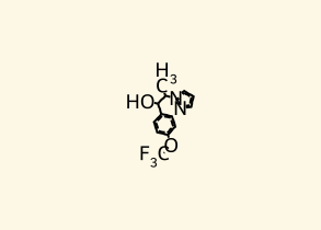 CC(C(O)c1ccc(OC(F)(F)F)cc1)n1cccn1